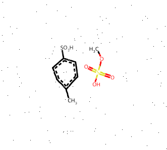 COS(=O)(=O)O.Cc1ccc(S(=O)(=O)O)cc1